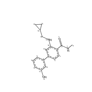 CNC(=O)c1ccc(-c2cccc(O)c2)nc1NCC1CC1